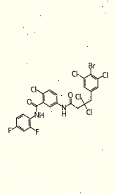 O=C(CC(Cl)(Cl)Cc1cc(Cl)c(Br)c(Cl)c1)Nc1ccc(Cl)c(C(=O)Nc2ccc(F)cc2F)c1